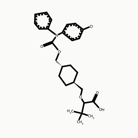 CC(C)(C)C(OC[C@H]1CC[C@H](COC(=O)N(c2ccccc2)c2ccc(Cl)cc2)CC1)C(=O)O